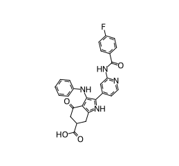 O=C(Nc1cc(-c2[nH]c3c(c2Nc2ccccc2)C(=O)CC(C(=O)O)C3)ccn1)c1ccc(F)cc1